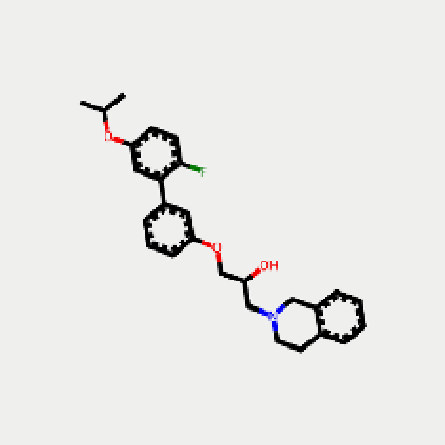 CC(C)Oc1ccc(F)c(-c2cccc(OCC(O)CN3CCc4ccccc4C3)c2)c1